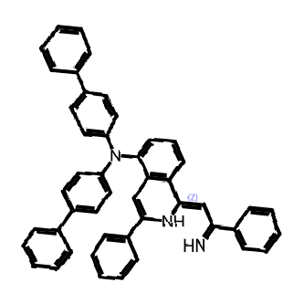 N=C(/C=C1\NC(c2ccccc2)=Cc2c1cccc2N(c1ccc(-c2ccccc2)cc1)c1ccc(-c2ccccc2)cc1)c1ccccc1